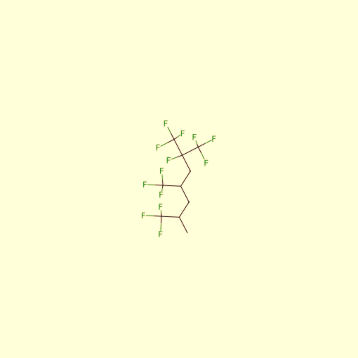 CC(CC(CC(F)(C(F)(F)F)C(F)(F)F)C(F)(F)F)C(F)(F)F